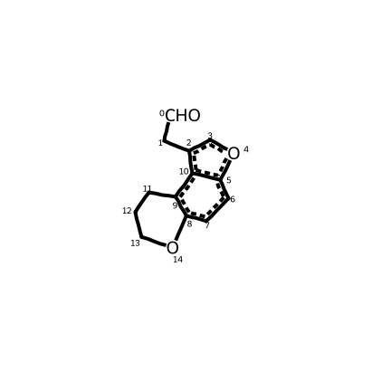 O=CCc1coc2ccc3c(c12)CCCO3